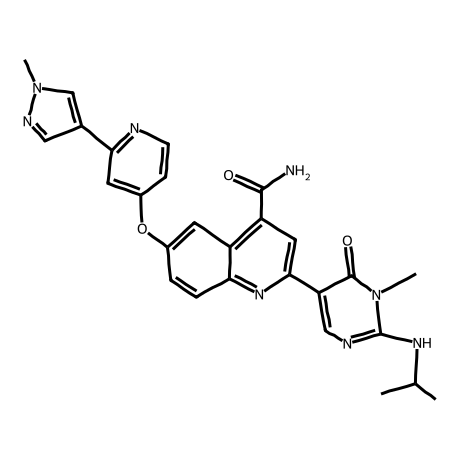 CC(C)Nc1ncc(-c2cc(C(N)=O)c3cc(Oc4ccnc(-c5cnn(C)c5)c4)ccc3n2)c(=O)n1C